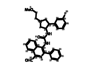 COCCN1CC(NC(=O)Nc2c(-c3ccccc3)nc(C=O)c3ccccc23)C(c2cccc(F)c2)C1